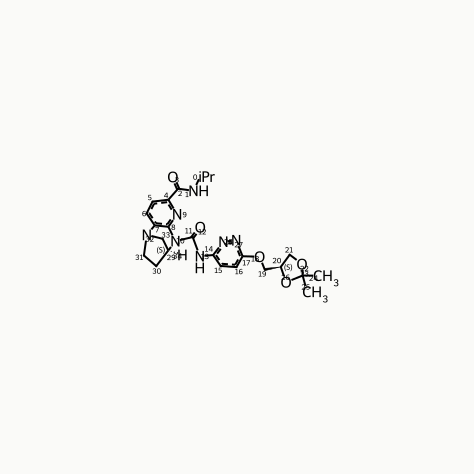 CC(C)NC(=O)c1ccc2c(n1)N(C(=O)Nc1ccc(OC[C@H]3COC(C)(C)O3)nn1)[C@H]1CCN2C1